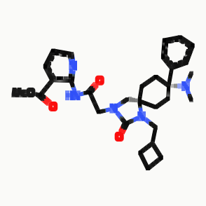 COC(=O)c1cccnc1NC(=O)CN1C[C@]2(CC[C@@](c3ccccc3)(N(C)C)CC2)N(CC2CCC2)C1=O